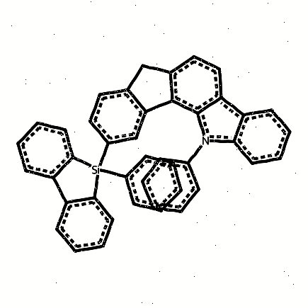 c1ccc(-n2c3ccccc3c3ccc4c(c32)-c2cc([Si]3(c5ccccc5)c5ccccc5-c5ccccc53)ccc2C4)cc1